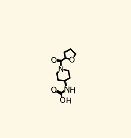 O=C(O)NC1CCN(C(=O)C2CCCO2)CC1